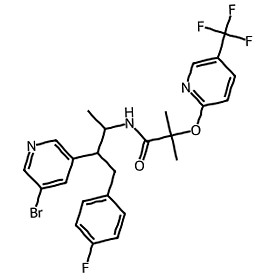 CC(NC(=O)C(C)(C)Oc1ccc(C(F)(F)F)cn1)C(Cc1ccc(F)cc1)c1cncc(Br)c1